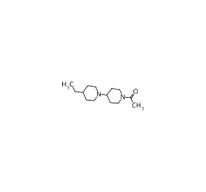 CCC1CCN(C2CCN(C(C)=O)CC2)CC1